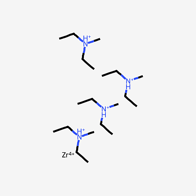 CC[NH+](C)CC.CC[NH+](C)CC.CC[NH+](C)CC.CC[NH+](C)CC.[Zr+4]